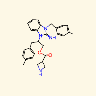 Cc1ccc(CC(COC(=O)C2CNC2)n2c(=N)n(Cc3ccc(C)cc3)c3ccccc32)cc1